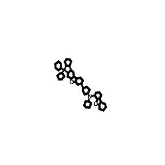 c1ccc(N(c2ccc(-c3ccc4c(c3)oc3cc5c(cc34)-c3ccccc3C5(c3ccccc3)c3ccccc3)cc2)c2cccc3c2oc2ccccc23)cc1